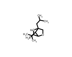 B[C@H]1OC2(CC(C)C)COC1[C@H]2C(C)C